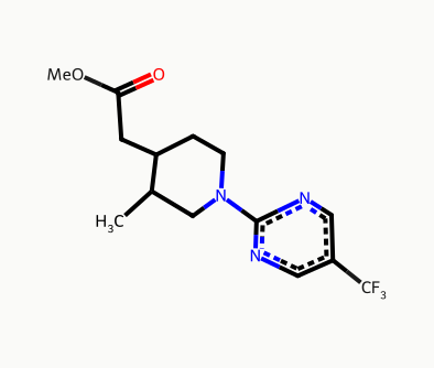 COC(=O)CC1CCN(c2ncc(C(F)(F)F)cn2)CC1C